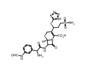 NC(C(=O)NC1C(=O)N2C(C(=O)O)=C(C(CCS(N)(=O)=O)Sc3nnn[nH]3)CS[C@@H]12)c1cccc(NC=O)c1